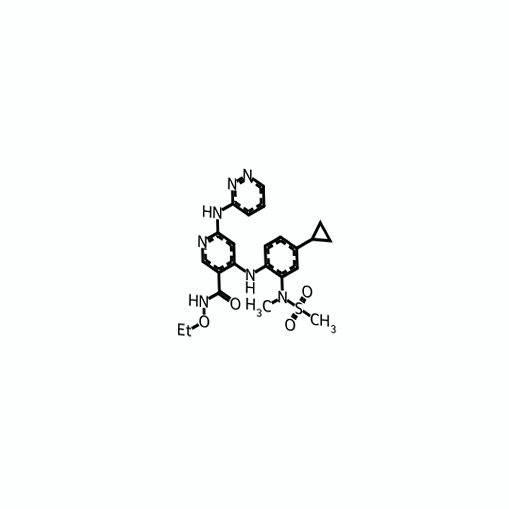 CCONC(=O)c1cnc(Nc2cccnn2)cc1Nc1ccc(C2CC2)cc1N(C)S(C)(=O)=O